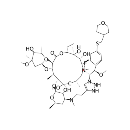 CC[C@H]1OC(=O)[C@H](C)[C@@H](O[C@H]2C[C@@](C)(OC)[C@@H](O)[C@H](C)O2)[C@H](C)[C@@H](O[C@@H]2O[C@H](C)C[C@H](N(C)CCC3=CN([C@H](CF)[C@H](OC)C4=CC=C(SCC5CCOCC5)CC4)NN3)[C@H]2O)[C@](C)(O)C[C@@H](C)CN(C)[C@H](C)[C@@H](O)[C@]1(C)O